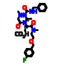 C[C@H]1N([C@@H](CC(=O)O)C(=O)N(C)CCOCc2ccc(F)cc2)C(=O)CN(C)N1C(=O)NCc1ccccc1